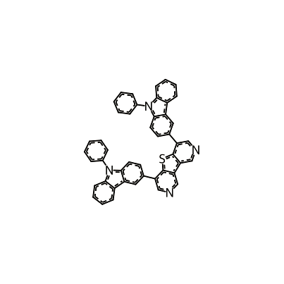 c1ccc(-n2c3ccccc3c3cc(-c4cncc5c4sc4c(-c6ccc7c(c6)c6ccccc6n7-c6ccccc6)cncc45)ccc32)cc1